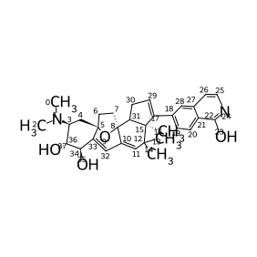 CN(C)[C@H]1C[C@@]23CC[C@@]4(O2)C(=CC(C)(C)[C@]2(C)C(c5ccc6c(O)nccc6c5)=CCC42)C=C3[C@@H](O)[C@@H]1O